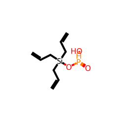 C=CC[Si](CC=C)(CC=C)O[PH](=O)O